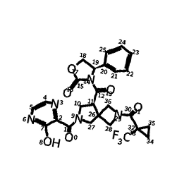 O=C(c1nccnc1O)N1C[C@@H](C(=O)N2C(=O)OC[C@H]2c2ccccc2)C2(C1)CN(C(=O)C1(C(F)(F)F)CC1)C2